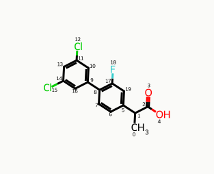 CC(C(=O)O)c1ccc(-c2cc(Cl)cc(Cl)c2)c(F)c1